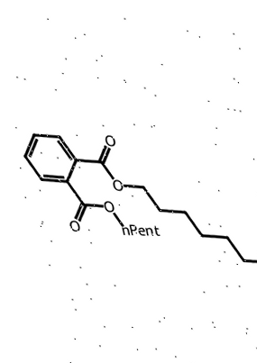 CCCCCOC(=O)c1ccccc1C(=O)OCCCCCCC(C)C